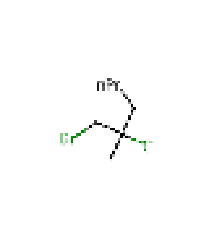 CCCCC(C)(Cl)CBr